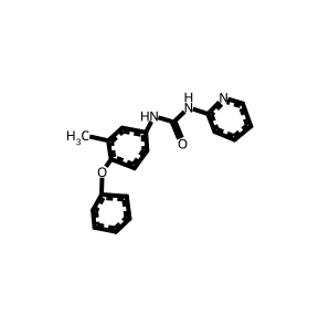 Cc1cc(NC(=O)Nc2ccccn2)ccc1Oc1ccccc1